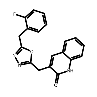 O=c1[nH]c2ccccc2cc1Cc1nnc(Cc2ccccc2F)o1